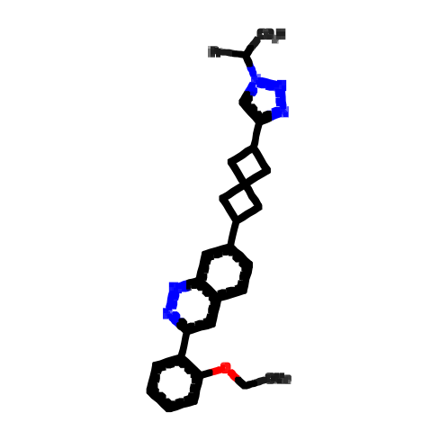 COCOc1ccccc1-c1cc2ccc(C3CC4(C3)CC(c3cn(C(C(=O)O)C(C)C)nn3)C4)cc2nn1